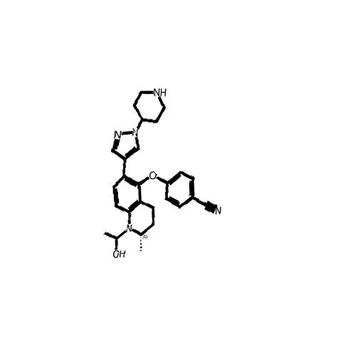 CC(O)N1c2ccc(-c3cnn(C4CCNCC4)c3)c(Oc3ccc(C#N)cc3)c2CC[C@@H]1C